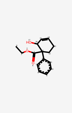 CCOC(=O)C1(c2ccccc2)CCC=CC1O